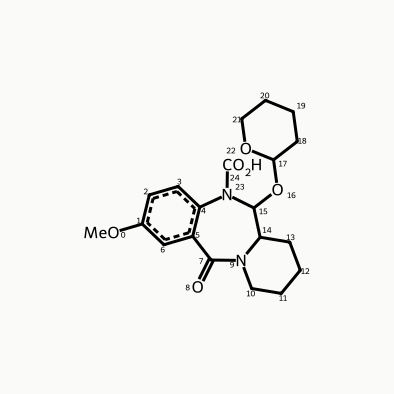 COc1ccc2c(c1)C(=O)N1CCCCC1C(OC1CCCCO1)N2C(=O)O